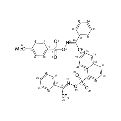 COc1ccc(S(=O)(=O)O/N=C(/c2ccccc2)C(F)(F)F)cc1.O=S(=O)(O/N=C(/c1ccccc1)C(F)(F)F)c1cccc2ccccc12